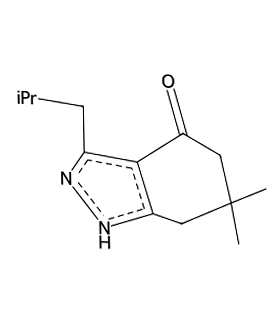 CC(C)Cc1n[nH]c2c1C(=O)CC(C)(C)C2